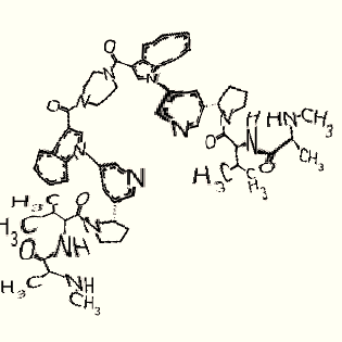 CN[C@@H](C)C(=O)N[C@H](C(=O)N1CCC[C@H]1c1cncc(-n2cc(C(=O)N3CCN(C(=O)c4cn(-c5cncc([C@@H]6CCCN6C(=O)[C@@H](NC(=O)[C@H](C)NC)C(C)C)c5)c5ccccc45)CC3)c3ccccc32)c1)C(C)C